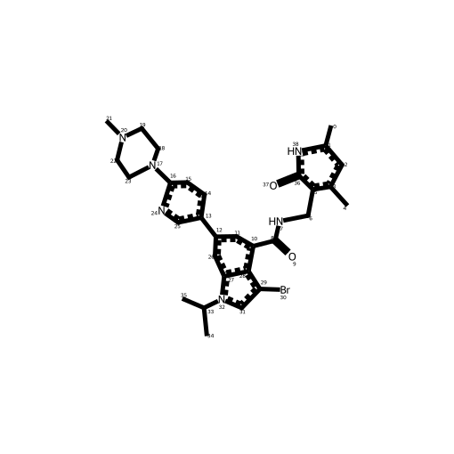 Cc1cc(C)c(CNC(=O)c2cc(-c3ccc(N4CCN(C)CC4)nc3)cc3c2c(Br)cn3C(C)C)c(=O)[nH]1